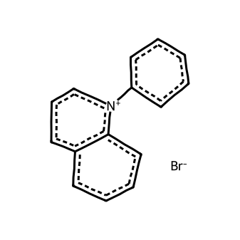 [Br-].c1ccc(-[n+]2cccc3ccccc32)cc1